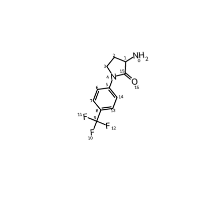 NC1CCN(c2ccc(C(F)(F)F)cc2)C1=O